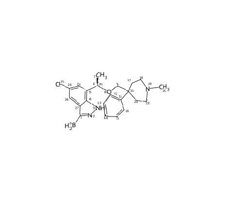 Bc1n[nH]c2c([C@@H](C)OCC3(c4ccccc4)CCN(C)CC3)cc(Cl)cc12